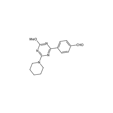 COc1nc(-c2ccc(C=O)cc2)nc(N2CCCCC2)n1